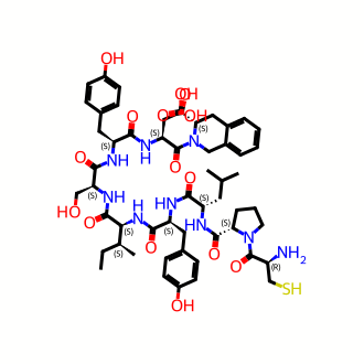 CC[C@H](C)[C@H](NC(=O)[C@H](Cc1ccc(O)cc1)NC(=O)[C@H](CC(C)C)NC(=O)[C@@H]1CCCN1C(=O)[C@@H](N)CS)C(=O)N[C@@H](CO)C(=O)N[C@@H](Cc1ccc(O)cc1)C(=O)N[C@@H](CC(=O)O)C(=O)N1Cc2ccccc2C[C@H]1C(=O)O